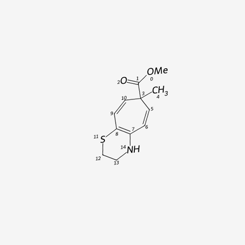 COC(=O)C1(C)C=CC2=C(C=C1)SCCN2